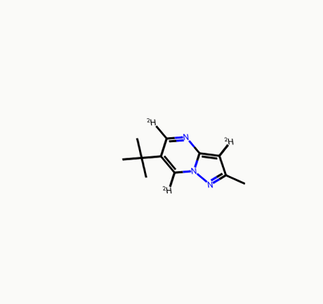 [2H]c1nc2c([2H])c(C)nn2c([2H])c1C(C)(C)C